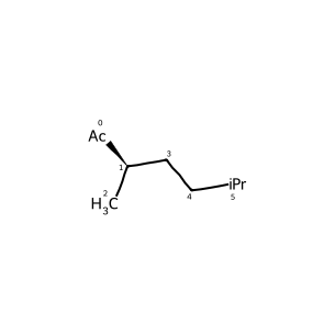 CC(=O)[C@H](C)CCC(C)C